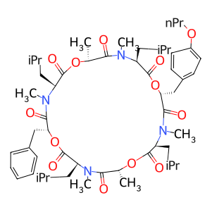 CCCOc1ccc(C[C@H]2OC(=O)[C@H](CC(C)C)N(C)C(=O)[C@@H](C)OC(=O)[C@H](CC(C)C)N(C)C(=O)[C@@H](Cc3ccccc3)OC(=O)[C@H](CC(C)C)N(C)C(=O)[C@@H](C)OC(=O)[C@H](CC(C)C)N(C)C2=O)cc1